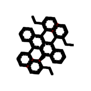 CCc1ccccc1-c1c2ccccc2c(-c2ccccc2CC)c2c(-c3ccccc3CC)c3ccccc3c(-c3ccccc3CC)c12